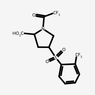 O=C(O)C1CC(S(=O)(=O)c2ccccc2C(F)(F)F)CN1C(=O)C(F)(F)F